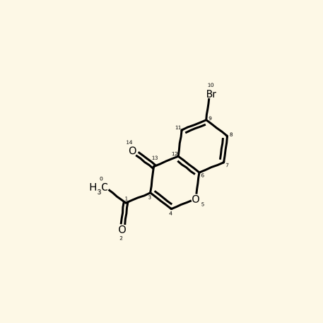 CC(=O)c1coc2ccc(Br)cc2c1=O